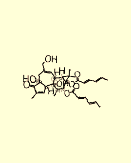 CC=CC=CC(=O)O[C@@H]1[C@@H](C)[C@@]2(O)[C@@H](C=C(CO)C[C@]3(O)C(=O)C(C)=C[C@@H]23)[C@H]2C(C)(C)[C@]12OC(=O)C=CC=CC